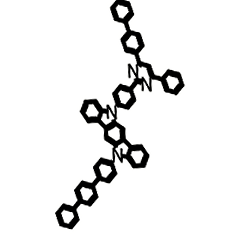 c1ccc(-c2ccc(-c3ccc(-n4c5ccccc5c5cc6c(cc54)c4ccccc4n6-c4ccc(-c5nc(-c6ccccc6)cc(-c6ccc(-c7ccccc7)cc6)n5)cc4)cc3)cc2)cc1